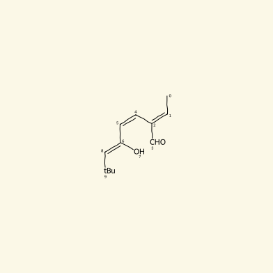 C\C=C(C=O)/C=C\C(O)=C\C(C)(C)C